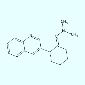 CN(C)N=C1CCCCC1c1cnc2ccccc2c1